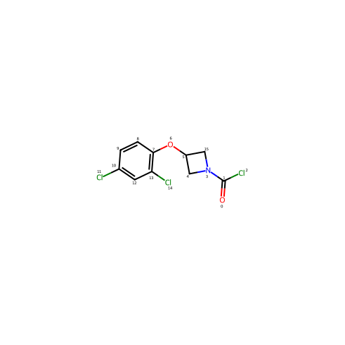 O=C(Cl)N1CC(Oc2ccc(Cl)cc2Cl)C1